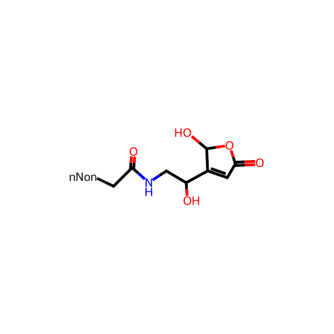 CCCCCCCCCCC(=O)NCC(O)C1=CC(=O)OC1O